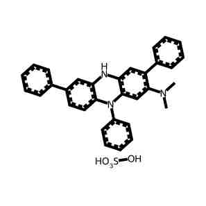 CN(C)c1cc2c(cc1-c1ccccc1)Nc1cc(-c3ccccc3)ccc1N2c1ccccc1.O=S(=O)(O)O